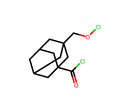 O=C(Cl)C12CC3CC(CC(COCl)(C3)C1)C2